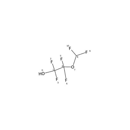 OC(F)(F)C(F)(F)OC(F)F